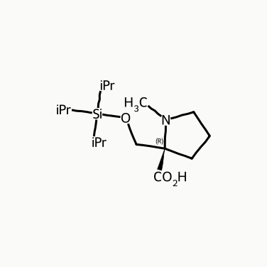 CC(C)[Si](OC[C@@]1(C(=O)O)CCCN1C)(C(C)C)C(C)C